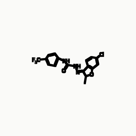 CC1Oc2cc(Cl)ccc2C1=NNC(=O)Nc1ccc(C(F)(F)F)cc1